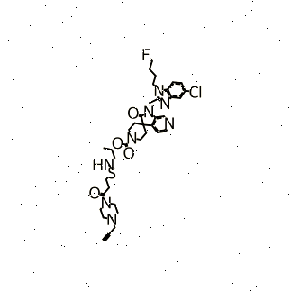 C#CCN1CCN(C(=O)CCSNCC(C)OC(=O)N2CCC3(CC2)C(=O)N(Cc2nc4cc(Cl)ccc4n2CCCCF)c2cnccc23)CC1